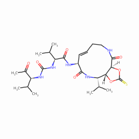 CC(=O)[C@@H](NC(=O)N[C@H](C(=O)N[C@H]1/C=C/CCNC(=O)[C@H]2OC(=S)O[C@@H]2[C@H](C(C)C)NC1=O)C(C)C)C(C)C